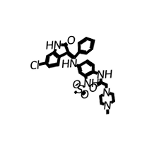 CN1CCN(CC(=O)Nc2ccc(NC(=C3C(=O)Nc4cc(Cl)ccc43)c3ccccc3)cc2NS(C)(=O)=O)CC1